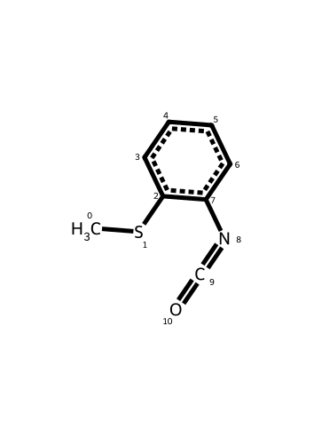 CSc1ccccc1N=C=O